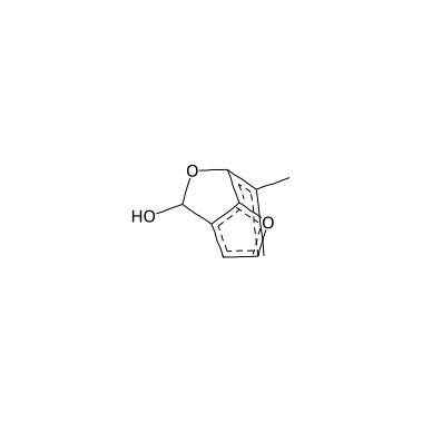 Cc1c2c3oc1cc3C(O)O2